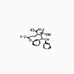 O=C(O)CCC(C(=O)O)C(C(Nc1ccccc1)c1ccccc1)[PH](=O)O